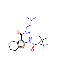 CN(C)CCNC(=O)c1c(NC(=O)C2C(C)(C)C2(C)C)sc2c1CCCC2